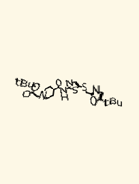 CC(C)(C)OC(=O)CN1CCC(C(=O)Nc2ncc(SCc3ncc(C(C)(C)C)o3)s2)CC1